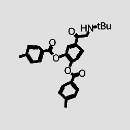 Cc1ccc(C(=O)Oc2ccc(C(=O)CNC(C)(C)C)cc2OC(=O)c2ccc(C)cc2)cc1